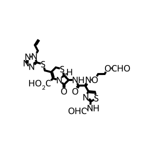 C=CCn1nnnc1SCC1=C(C(=O)O)N2C(=O)C(NC(=O)C(=NOCCOC=O)c3csc(NC=O)n3)[C@@H]2SC1